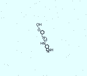 OCCOc1cccc(CN2CC3CC(Nc4ccc5[nH]ncc5c4)C2C3)c1